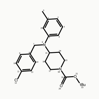 Cc1cccc(N(Cc2ccc(Cl)cc2)C2CCN(C(=O)OC(C)(C)C)CC2)c1